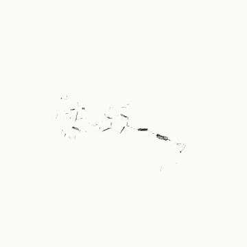 C[C@@](CCn1cc2cc(C#CC#C[C@H]3C[C@@H]3CO)ccc2n1)(C(=O)NO)S(C)(=O)=O.O=CO